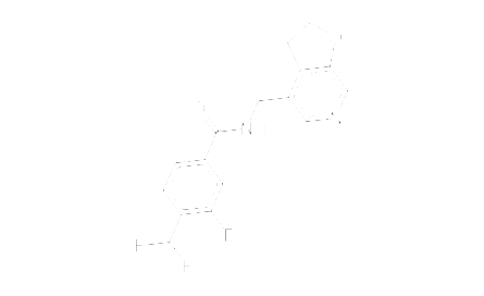 O=C(NCc1cncc2c1CCO2)c1ccc(C(F)F)c(F)c1